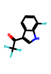 O=C(c1c[nH]c2c(F)cccc12)C(F)(F)F